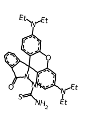 CCN(CC)c1ccc2c(c1)Oc1cc(N(CC)CC)ccc1C21c2ccccc2C(=O)N1NC(N)=S